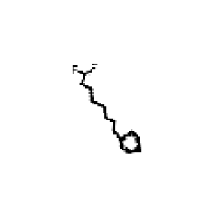 F[C](F)CCCCCCCc1ccccc1